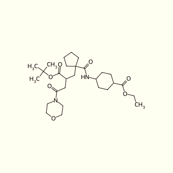 CCOC(=O)C1CCC(NC(=O)C2(CC(CC(=O)N3CCOCC3)C(=O)OC(C)(C)C)CCCC2)CC1